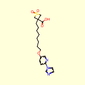 O=C(O)C1(CCCCCCCCOc2ccc(-n3ccnc3)nc2)CS(=O)(=O)C1